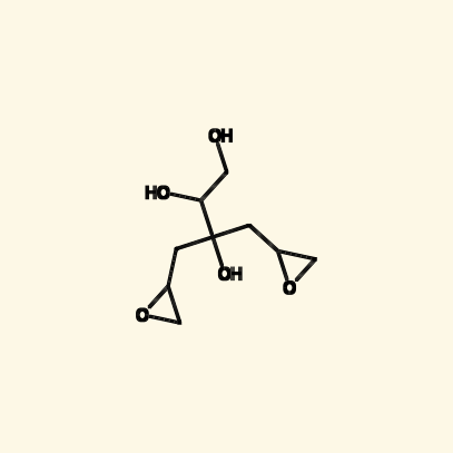 OCC(O)C(O)(CC1CO1)CC1CO1